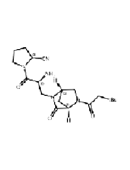 CC(C)(C)CC(=O)N1C[C@@H]2C[C@H]1C(=O)N2C[C@H](N)C(=O)N1CCC[C@H]1C#N